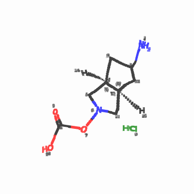 Cl.NC1C[C@@H]2CN(OC(=O)O)C[C@@H]2C1